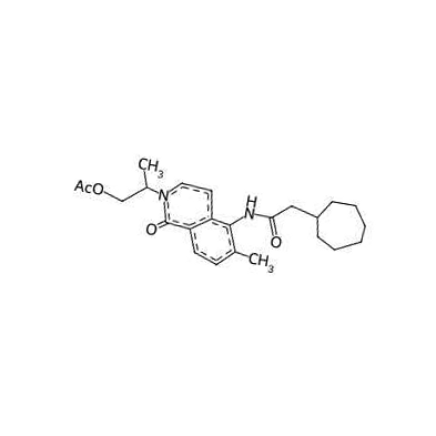 CC(=O)OCC(C)n1ccc2c(NC(=O)CC3CCCCCC3)c(C)ccc2c1=O